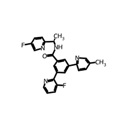 Cc1ccc(-c2cc(C(=O)N[C@H](C)c3ccc(F)cn3)cc(-c3ncccc3F)c2)nc1